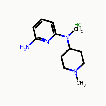 CN1CCC(N(C)c2cccc(N)n2)CC1.Cl